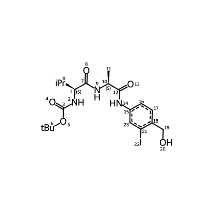 CC(C)[C@H](NC(=O)OC(C)(C)C)C(=O)N[C@@H](C)C(=O)Nc1ccc(CO)c(I)c1